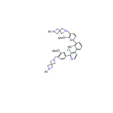 COc1cc(-c2nccc(-c3cccc(-c4ccc(CN5CC6(C5)CN(C(C)=O)C6)c(OC)n4)c3C#N)c2Cl)ccc1CN1CC2(C1)CN(C(C)=O)C2